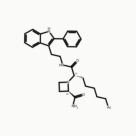 CC(=O)CCCCC[C@@H](C(=O)NCCc1c(-c2ccccc2)[nH]c2ccccc12)N1CC[C@@H]1C(N)=O